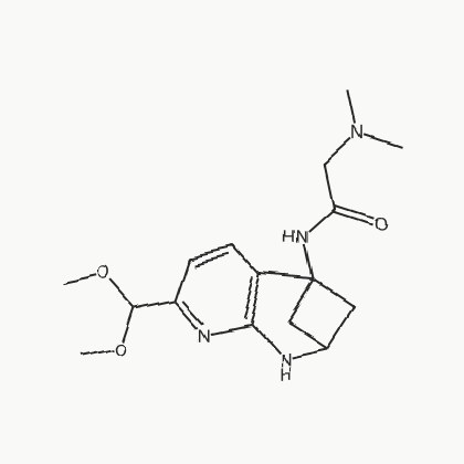 COC(OC)c1ccc2c(n1)NC1CC2(NC(=O)CN(C)C)C1